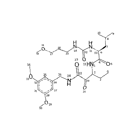 CCC(NC(=O)[C@H](CC(C)C)NC(=O)NCCCOC)C(=O)C(=O)NCc1cc(OC)cc(OC)c1